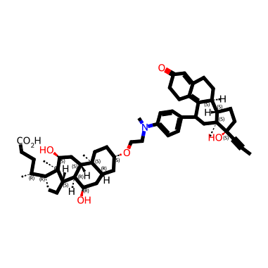 CC#C[C@]1(O)CC[C@H]2[C@@H]3CCC4=CC(=O)CCC4=C3C(c3ccc(N(C)CCO[C@H]4CC[C@@]5(C)[C@@H](C4)C[C@@H](O)[C@@H]4[C@@H]5C[C@H](O)[C@]5(C)[C@@H]([C@H](C)CCC(=O)O)CC[C@@H]45)cc3)C[C@@]21C